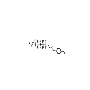 C=Cc1ccc(CSCCC(F)(F)C(F)(F)C(F)(F)C(F)(F)C(F)(F)C(F)(F)F)cc1